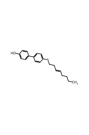 CCCCC=CCCSc1ccc(-c2ccc(O)cc2)cc1